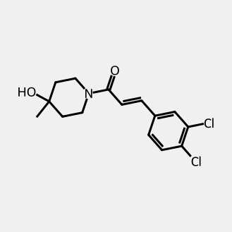 CC1(O)CCN(C(=O)C=Cc2ccc(Cl)c(Cl)c2)CC1